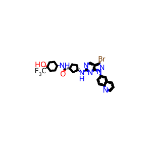 O=C(N[C@H]1CC[C@](O)(C(F)(F)F)CC1)[C@@H]1CC[C@@H](Nc2ncc3c(Br)nn(-c4ccc5ncccc5c4)c3n2)C1